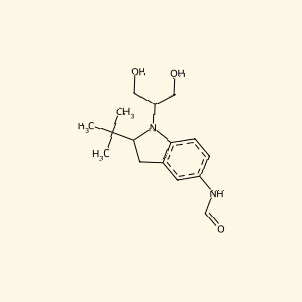 CC(C)(C)C1Cc2cc(NC=O)ccc2N1C(CO)CO